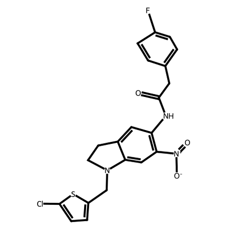 O=C(Cc1ccc(F)cc1)Nc1cc2c(cc1[N+](=O)[O-])N(Cc1ccc(Cl)s1)CC2